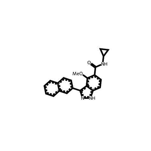 COc1c(C(=O)NC2CC2)ccc2[nH]nc(-c3ccc4ccccc4c3)c12